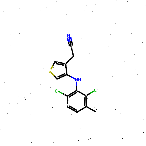 Cc1ccc(Cl)c(Nc2cscc2CC#N)c1Cl